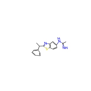 CC(=N)Nc1ccc2sc(C(C)c3ccccc3)nc2c1